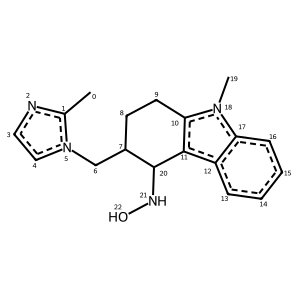 Cc1nccn1CC1CCc2c(c3ccccc3n2C)C1NO